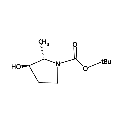 C[C@H]1[C@H](O)CCN1C(=O)OC(C)(C)C